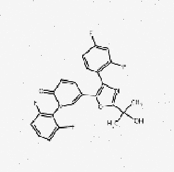 CC(C)(O)c1nc(-c2ccc(F)cc2F)c(-c2ccc(=O)n(-c3c(F)cccc3F)c2)o1